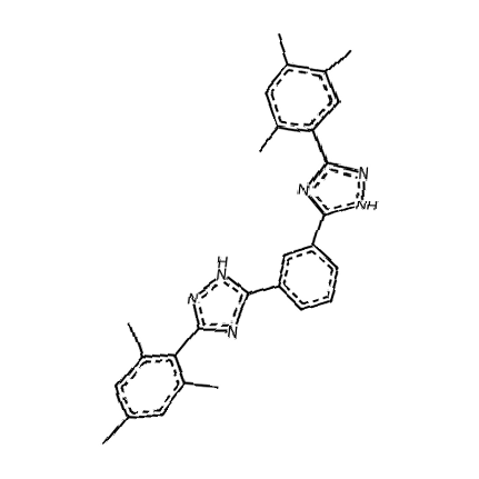 Cc1cc(C)c(-c2n[nH]c(-c3cccc(-c4nc(-c5cc(C)c(C)cc5C)n[nH]4)c3)n2)c(C)c1